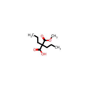 CCCC(CCC)(C(=O)O)C(=O)OC